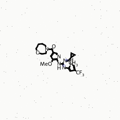 COc1cc(C(=O)N2CCCCOCC2)cnc1NC(=N/c1cc(C(F)(F)F)c[nH]1)/N=C(\C)C1CC1